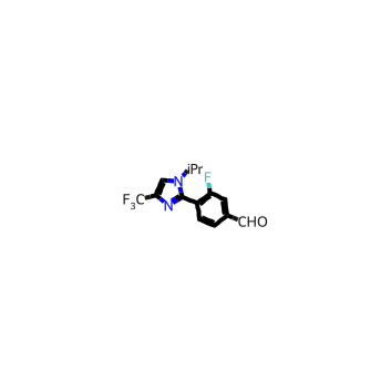 CC(C)n1cc(C(F)(F)F)nc1-c1ccc(C=O)cc1F